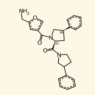 NCc1cc(C(=O)N2C[C@@H](c3ccccc3)C[C@H]2C(=O)N2CCC(c3ccccc3)C2)co1